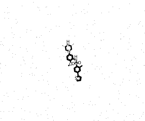 COc1ccc(N2C[C@@H](C)N[C@@H](C)C2)cc1NS(=O)(=O)c1ccc(-c2cccs2)cc1C